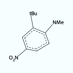 CNc1ccc([N+](=O)[O-])cc1C(C)(C)C